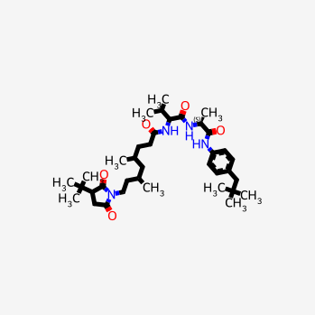 CC(CCC(=O)NC(C(=O)N[C@@H](C)C(=O)Nc1ccc(CC(C)(C)C)cc1)C(C)C)CC(C)CCN1C(=O)CC(C(C)(C)C)C1=O